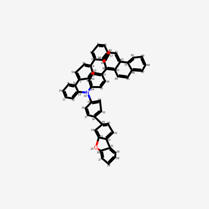 c1ccc(-c2ccc(-c3ccccc3N(c3ccc(-c4ccc5c(c4)oc4ccccc45)cc3)c3ccc(-c4cccc5c4ccc4ccccc45)cc3)cc2)cc1